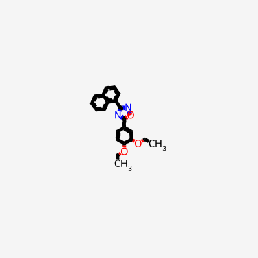 CCOC1C=CC(c2nc(-c3cccc4ccccc34)no2)=CC1OCC